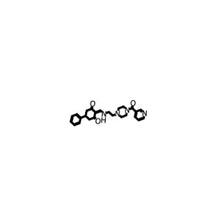 O=C1CC(c2ccccc2)CC(=O)C1=CNCCN1CCN(C(=O)c2cccnc2)CC1